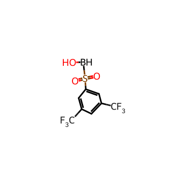 O=S(=O)(BO)c1cc(C(F)(F)F)cc(C(F)(F)F)c1